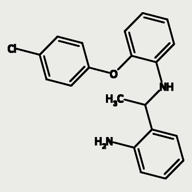 CC(Nc1ccccc1Oc1ccc(Cl)cc1)c1ccccc1N